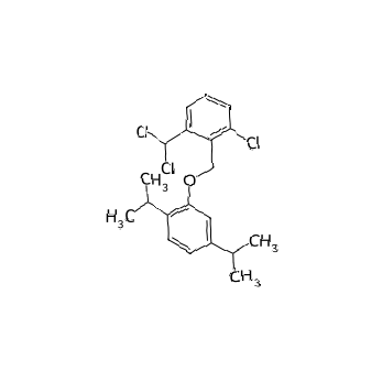 CC(C)c1ccc(C(C)C)c(OCc2c(Cl)cccc2C(Cl)Cl)c1